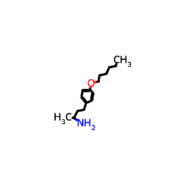 CCCCCCOc1ccc(CCC(C)N)cc1